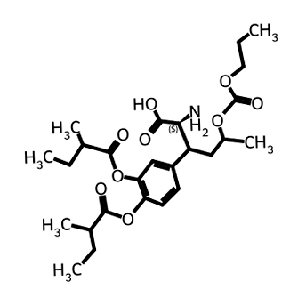 CCCOC(=O)OC(C)CC(c1ccc(OC(=O)C(C)CC)c(OC(=O)C(C)CC)c1)[C@H](N)C(=O)O